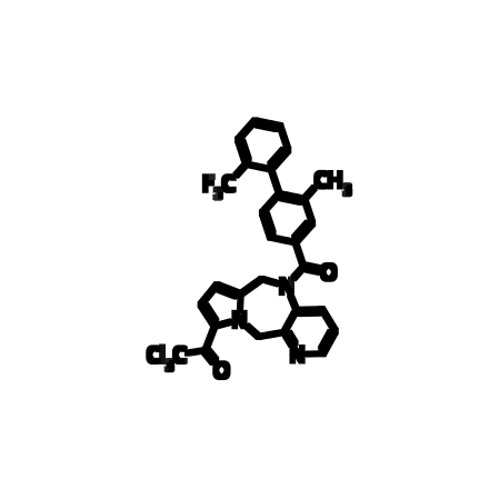 Cc1cc(C(=O)N2Cc3ccc(C(=O)C(Cl)(Cl)Cl)n3Cc3ncccc32)ccc1-c1ccccc1C(F)(F)F